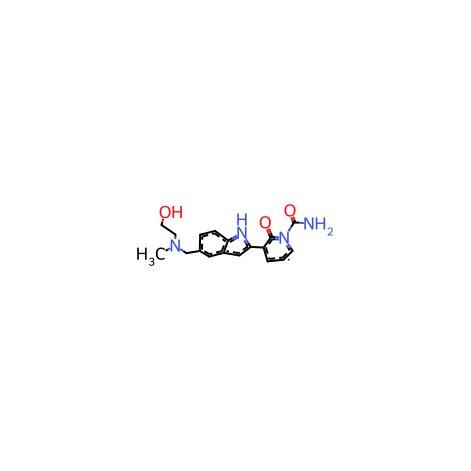 CN(CCO)Cc1ccc2[nH]c(-c3c[c]cn(C(N)=O)c3=O)cc2c1